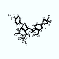 Cc1ccc(-n2nc3c(c2NC(=O)CS(C)(=O)=O)C(=O)N[C@@]2(CCc4cc(N5CC(F)(F)C5)ccc42)C3)nc1